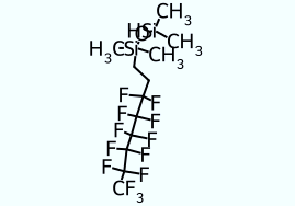 C[SiH](C)O[Si](C)(C)CCC(F)(F)C(F)(F)C(F)(F)C(F)(F)C(F)(F)C(F)(F)F